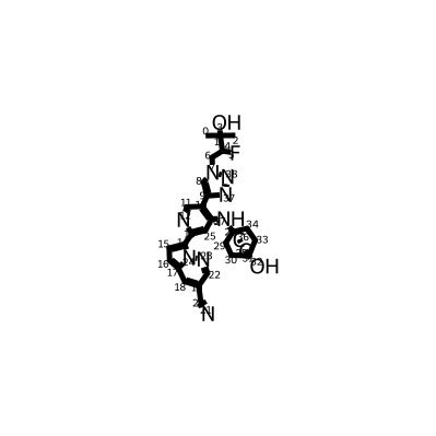 CC(C)(O)C(F)Cn1cc(-c2cnc(-c3ccc4cc(C#N)cnn34)cc2NC23CCC(O)(CC2)CC3)nn1